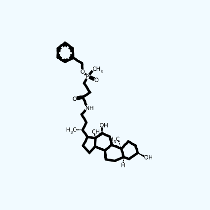 C[C@H](CCNC(=O)CCP(C)(=O)OCc1ccccc1)C1CCC2C3CC[C@@H]4C[C@H](O)CC[C@]4(C)C3C[C@H](O)[C@@]21C